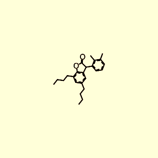 CCCCc1cc(CCCC)c2c(c1)C(c1cccc(C)c1C)C(=O)O2